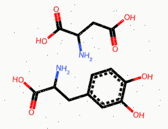 NC(CC(=O)O)C(=O)O.NC(Cc1ccc(O)c(O)c1)C(=O)O